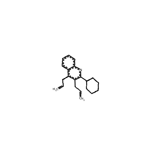 C=CCc1c(C2CCCCC2)nc2ccccc2c1CC=C